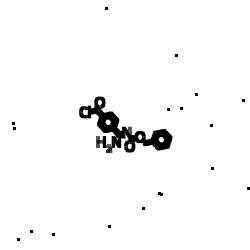 NC(=NC(=O)OCc1ccccc1)c1ccc(C(=O)Cl)cc1